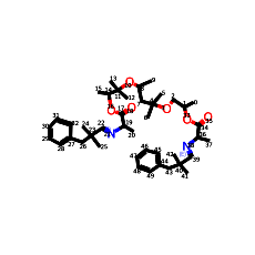 CC(COC(C)(C)CC(C)OC(C)(C)C(C)OC(=O)C(C)/N=C/C(C)(C)Cc1ccccc1)OC(=O)C(C)/N=C/C(C)(C)Cc1ccccc1